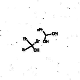 CCC(O)(Br)Br.CCCC(O)O